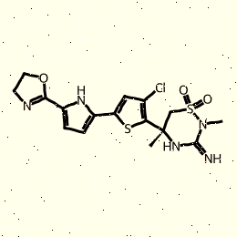 CN1C(=N)N[C@](C)(c2sc(-c3ccc(C4=NCCO4)[nH]3)cc2Cl)CS1(=O)=O